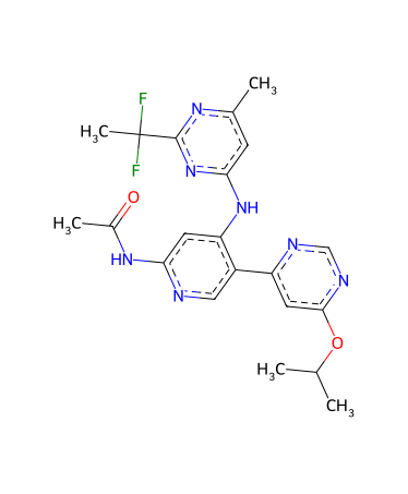 CC(=O)Nc1cc(Nc2cc(C)nc(C(C)(F)F)n2)c(-c2cc(OC(C)C)ncn2)cn1